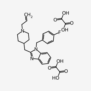 C=CCN1CCC(Cc2nc3ccccc3n2Cc2ccc(F)cc2)CC1.O=C(O)C(=O)O.O=C(O)C(=O)O